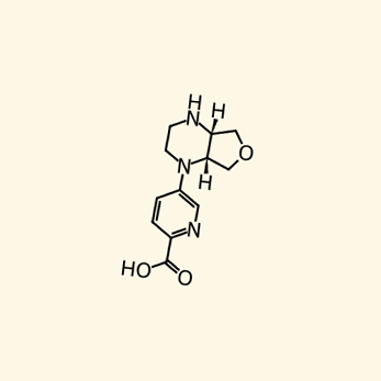 O=C(O)c1ccc(N2CCN[C@@H]3COC[C@@H]32)cn1